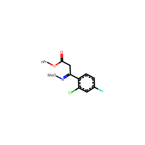 CCCOC(=O)CC(=NOC)c1c[c]c(F)cc1Cl